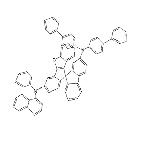 c1ccc(-c2ccc(N(c3ccc(-c4ccccc4)cc3)c3ccc4c(c3)C3(c5ccccc5-4)c4ccc(N(c5ccccc5)c5cccc6ccccc56)cc4-c4oc5ccccc5c43)cc2)cc1